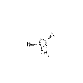 Cc1sc(C#N)[c]c1C#N